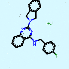 Cl.Fc1ccc(CNc2nc(N3Cc4ccccc4C3)nc3ccccc23)cc1